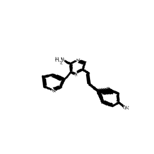 Nc1ncc(C=Cc2ccc(O)cc2)nc1-c1cccnc1